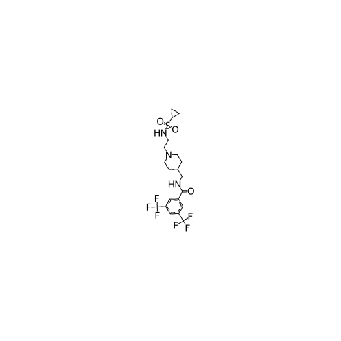 O=C(NCC1CCN(CCNS(=O)(=O)C2CC2)CC1)c1cc(C(F)(F)F)cc(C(F)(F)F)c1